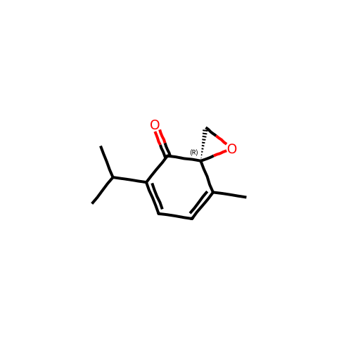 CC1=CC=C(C(C)C)C(=O)[C@]12CO2